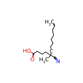 C=CCCCCCCC(C)(C#N)CCCC(=O)O